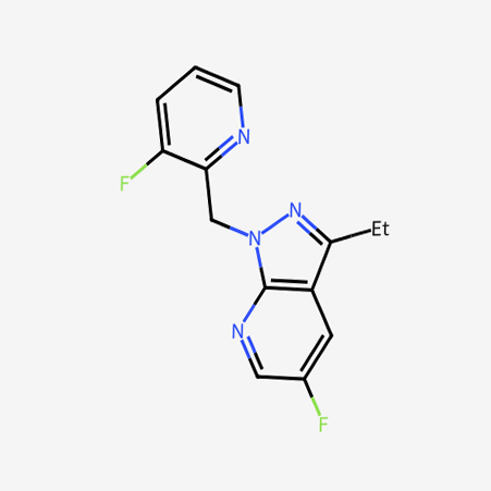 CCc1nn(Cc2ncccc2F)c2ncc(F)cc12